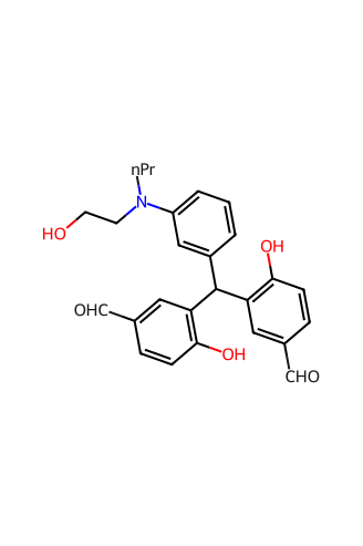 CCCN(CCO)c1cccc(C(c2cc(C=O)ccc2O)c2cc(C=O)ccc2O)c1